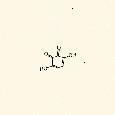 O=C1C(=O)C(O)=CC=C1O